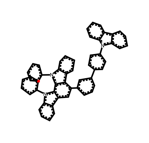 c1ccc(-n2c3ccccc3c3cc(-c4cccc(-c5ccc(-n6c7ccccc7c7ccccc76)cc5)c4)c4c5ccccc5n(-c5ccccc5)c4c32)cc1